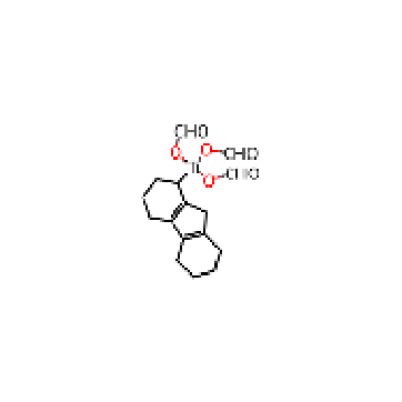 O=C[O][Ti]([O]C=O)([O]C=O)[CH]1CCCC2=C1CC1=C2CCCC1